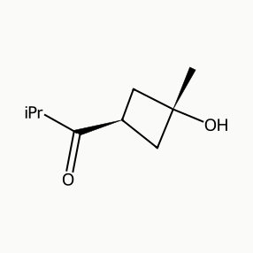 CC(C)C(=O)[C@H]1C[C@](C)(O)C1